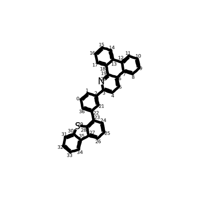 c1cc(-c2ccc3c4ccccc4c4ccccc4c3n2)cc(-c2cccc3c2sc2ccccc23)c1